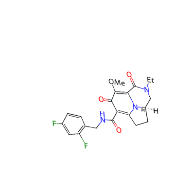 CCN1C[C@H]2CCc3c(C(=O)NCc4ccc(F)cc4F)c(=O)c(OC)c(n32)C1=O